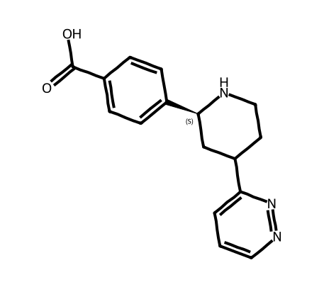 O=C(O)c1ccc([C@@H]2CC(c3cccnn3)CCN2)cc1